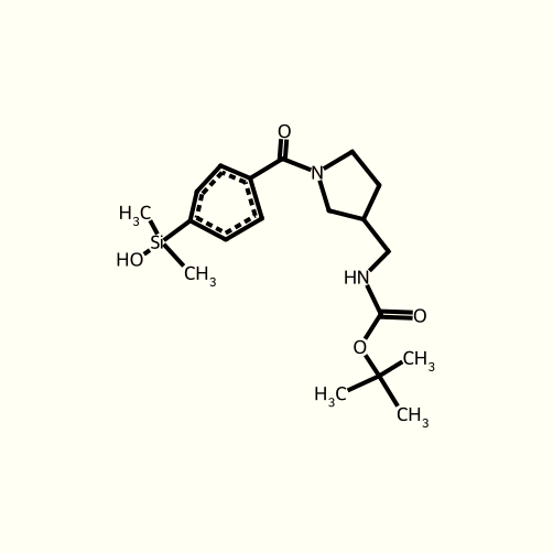 CC(C)(C)OC(=O)NCC1CCN(C(=O)c2ccc([Si](C)(C)O)cc2)C1